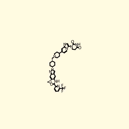 COc1cc2nn([C@H]3CC[C@H](CN4CCC(c5ccn6c(N7CCC(=O)NC7=O)cnc6c5)CC4)CC3)cc2cc1NC(=O)c1cccc(C(F)(F)F)n1